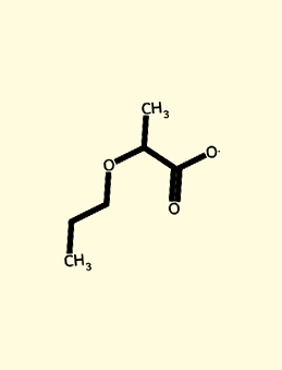 CCCOC(C)C([O])=O